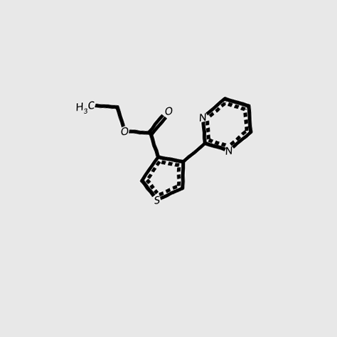 CCOC(=O)c1cscc1-c1ncccn1